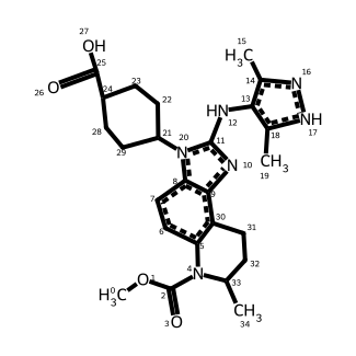 COC(=O)N1c2ccc3c(nc(Nc4c(C)n[nH]c4C)n3C3CCC(C(=O)O)CC3)c2CCC1C